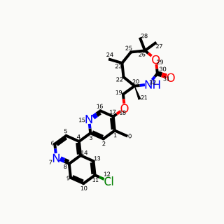 Cc1cc(-c2ccnc3ccc(Cl)cc23)ncc1OC[C@]1(C)CC(C)CC(C)(C)OC(=O)N1